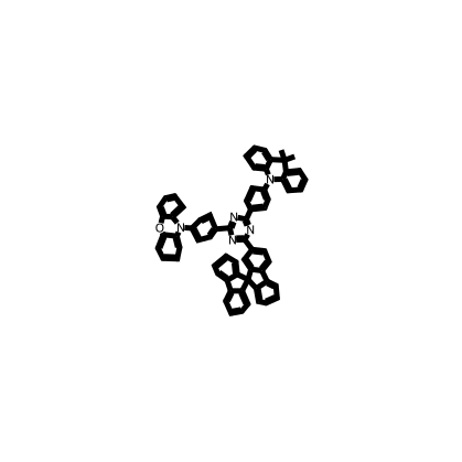 CC1(C)c2ccccc2N(c2ccc(-c3nc(-c4ccc(N5c6ccccc6Oc6ccccc65)cc4)nc(-c4ccc5c(c4)C4(c6ccccc6-c6ccccc64)c4ccccc4-5)n3)cc2)c2ccccc21